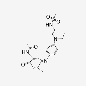 CCN(CCNS(C)(=O)=O)c1ccc(N=C2C=C(NC(C)=O)C(=O)C=C2C)cc1